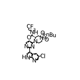 CCCCS(=O)(=O)N1CCN(c2ccnc(-c3c[nH]c4ncc(Cl)cc34)n2)[C@@H](C(=O)NCC(F)(F)F)C1